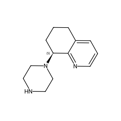 c1cnc2c(c1)CCC[C@@H]2N1CCNCC1